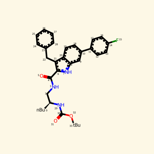 CCCC[C@@H](CNC(=O)c1[nH]c2cc(-c3ccc(F)cc3)ccc2c1Cc1ccccc1)NC(=O)OC(C)(C)C